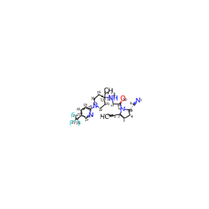 C#CC1CC[C@@H](C#N)N1C(=O)CNC1(C)CCN(c2ccc(C(F)(F)F)cn2)CC1